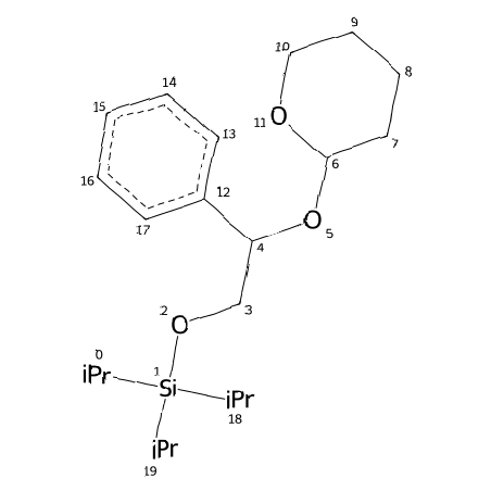 CC(C)[Si](OCC(OC1CCCCO1)c1ccccc1)(C(C)C)C(C)C